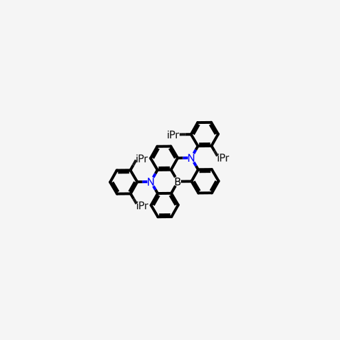 CC(C)c1cccc(C(C)C)c1N1c2ccccc2B2c3ccccc3N(c3c(C(C)C)cccc3C(C)C)c3cccc1c32